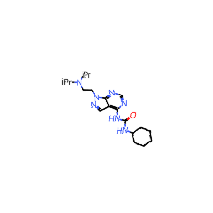 CC(C)N(CCn1ncc2c(NC(=O)NC3CCCCC3)ncnc21)C(C)C